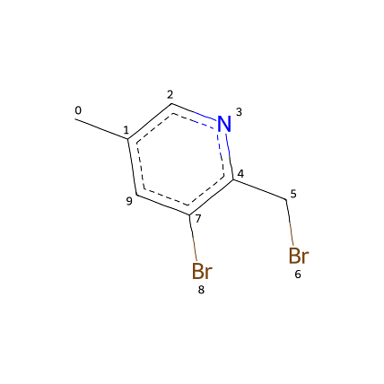 Cc1cnc(CBr)c(Br)c1